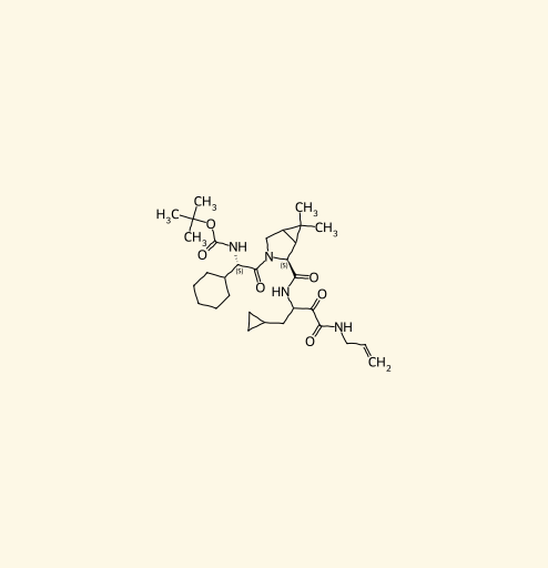 C=CCNC(=O)C(=O)C(CC1CC1)NC(=O)[C@@H]1C2C(CN1C(=O)[C@@H](NC(=O)OC(C)(C)C)C1CCCCC1)C2(C)C